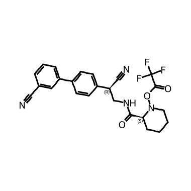 N#Cc1cccc(-c2ccc([C@@H](C#N)CNC(=O)[C@@H]3CCCCN3OC(=O)C(F)(F)F)cc2)c1